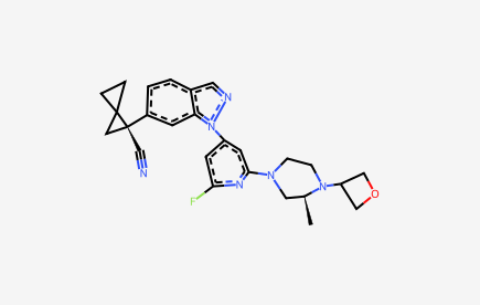 C[C@H]1CN(c2cc(-n3ncc4ccc([C@]5(C#N)CC56CC6)cc43)cc(F)n2)CCN1C1COC1